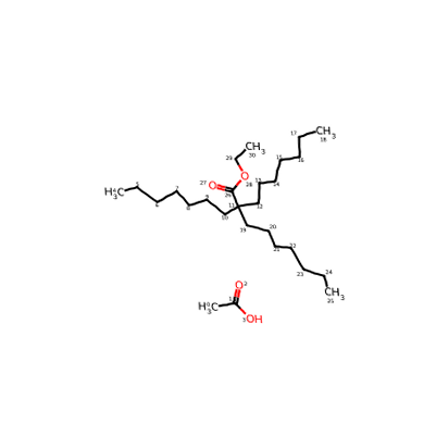 CC(=O)O.CCCCCCCC(CCCCCCC)(CCCCCCC)C(=O)OCC